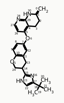 C=C1CCc2c(Oc3ccc4c(c3)CC(c3nc(C(C)(C)C)c[nH]3)CO4)ccnc2N1